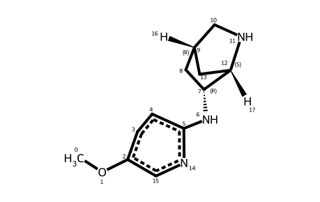 COc1ccc(N[C@@H]2C[C@@H]3CN[C@H]2C3)nc1